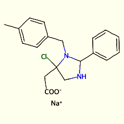 Cc1ccc(CN2C(c3ccccc3)NCC2(Cl)CC(=O)[O-])cc1.[Na+]